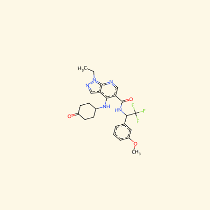 CCn1ncc2c(NC3CCC(=O)CC3)c(C(=O)NC(c3cccc(OC)c3)C(F)(F)F)cnc21